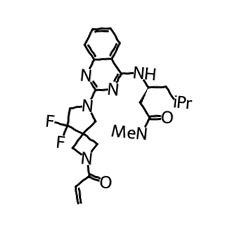 C=CC(=O)N1CC2(C1)CN(c1nc(N[C@H](CC(=O)NC)CC(C)C)c3ccccc3n1)CC2(F)F